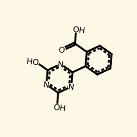 O=C(O)c1ccccc1-c1nc(O)nc(O)n1